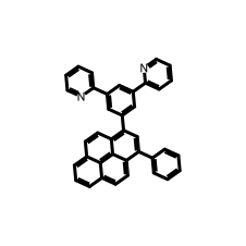 c1ccc(-c2cc(-c3cc(-c4ccccn4)cc(-c4ccccn4)c3)c3ccc4cccc5ccc2c3c54)cc1